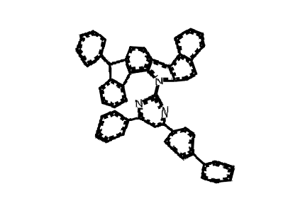 c1ccc(-c2ccc(-c3cc(-c4ccccc4)nc(-n4c5ccc6ccccc6c5c5ccc6c(c54)-c4ccccc4C6c4ccccc4)n3)cc2)cc1